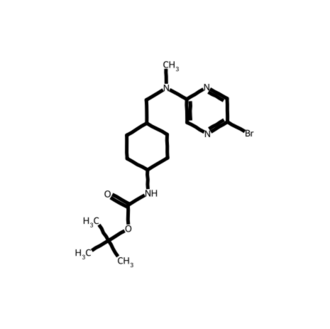 CN(CC1CCC(NC(=O)OC(C)(C)C)CC1)c1cnc(Br)cn1